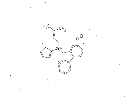 CC(C)=C[CH2][Zr+2]([C]1=CC=CC1)[CH]1c2ccccc2-c2ccccc21.[Cl-].[Cl-]